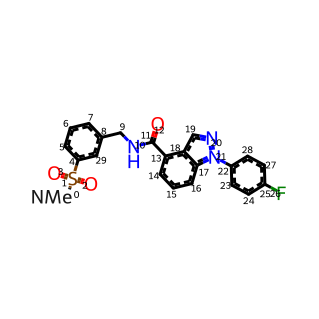 CNS(=O)(=O)c1cccc(CNC(=O)c2cccc3c2cnn3-c2ccc(F)cc2)c1